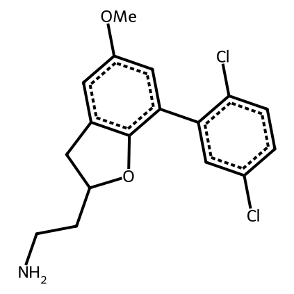 COc1cc2c(c(-c3cc(Cl)ccc3Cl)c1)OC(CCN)C2